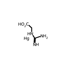 N=C(N)NCC(=O)O.[Hg]